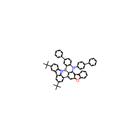 CC(C)(C)c1ccc2c(c1)c1cc(C(C)(C)C)cc3c1n2B1c2cc(-c4ccccc4)ccc2N(c2ccc(-c4ccccc4)cc2)c2c1c-3cc1oc3ccccc3c21